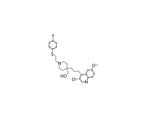 COc1ccc2ncc(Cl)c(CCCC3(CO)CCN(CCSc4ccc(F)cc4)CC3)c2c1